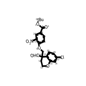 CC(C)(C)OC(=O)c1ccc(OCC2(C=O)CCOc3cc(Cl)ccc32)c([N+](=O)[O-])c1